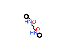 O=C(CCCC(=O)Nc1ccccc1)NCc1ccccc1